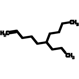 C=CCCCC(CCC)CCCC